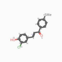 CSc1ccc(C(=O)/C=C/c2ccc(O)c(Cl)c2)cc1